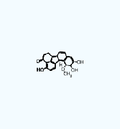 CO[C@@H]1C2=C(C=CC3=C4CCC(=O)c5c(O)ccc(c54)[C@@H]32)C=C(O)[C@H]1O